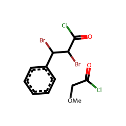 COCC(=O)Cl.O=C(Cl)C(Br)C(Br)c1ccccc1